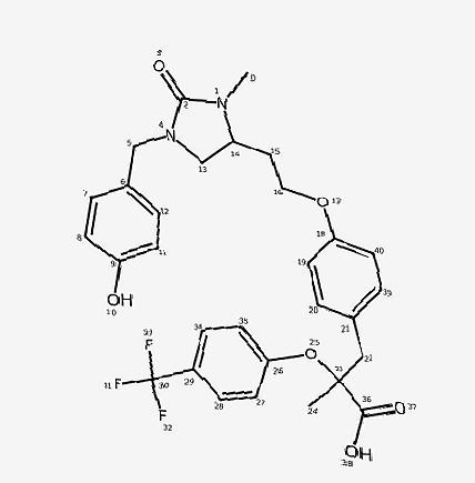 CN1C(=O)N(Cc2ccc(O)cc2)CC1CCOc1ccc(CC(C)(Oc2ccc(C(F)(F)F)cc2)C(=O)O)cc1